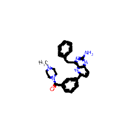 CN1CCN(C(=O)c2cccc(-c3ccc4nc(N)nc(Cc5ccccc5)c4n3)c2)CC1